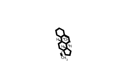 C=C[C@@]12CCC[C@H]1[C@@H]1CC=C3CCCC[C@]3(C)[C@H]1CC2